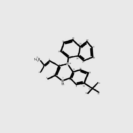 B/C(C)=C/C1=C(C)Bc2cc(C(C)(C)C)ccc2N1c1cccc2ccccc12